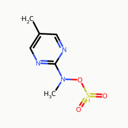 [CH2]c1cnc(N(C)O[SH](=O)=O)nc1